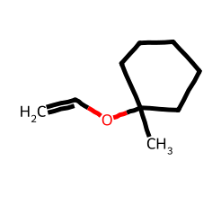 C=COC1(C)CCCCC1